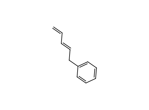 C=CC=CCc1ccccc1